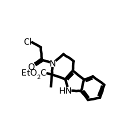 CCOC(=O)C1(C)c2[nH]c3ccccc3c2CCN1C(=O)CCl